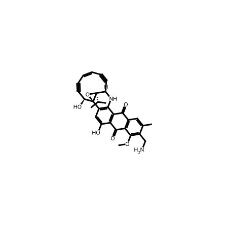 COc1c(CN)c(C)cc2c1C(=O)c1c(O)cc3c(c1C2=O)N[C@H]1C#C/C=C\C#C[C@H](O)[C@@]32O[C@@]12C(C)C